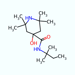 CCC(C)(C)NC(=O)C1(O)CC(C)(C)NC(C)(C)C1